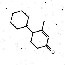 CC1=CC(=O)CCC1C1CCCCC1